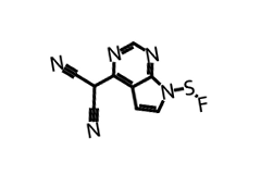 N#CC(C#N)c1ncnc2c1ccn2SF